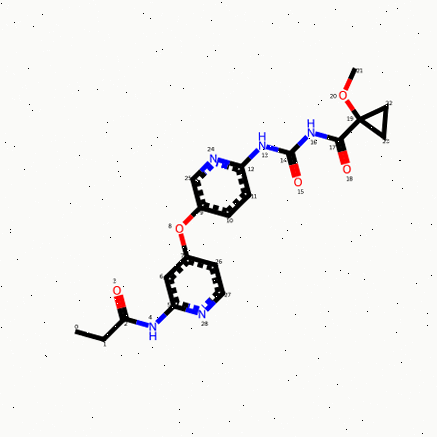 CCC(=O)Nc1cc(Oc2ccc(NC(=O)NC(=O)C3(OC)CC3)nc2)ccn1